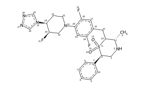 C[C@@H]1NC[C@@H](c2ccccc2)S(=O)(=O)C1Cc1cc(F)c(N2CC[C@H](n3cnnc3)[C@H](F)C2)cc1F